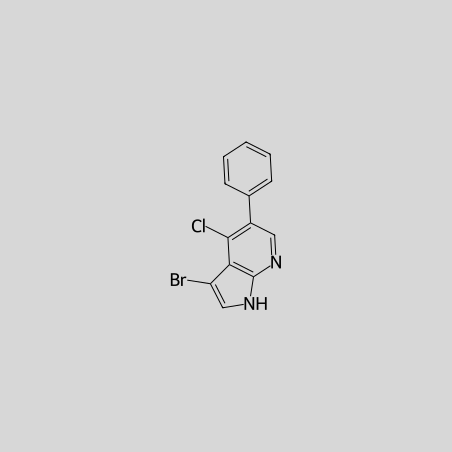 Clc1c(-c2ccccc2)cnc2[nH]cc(Br)c12